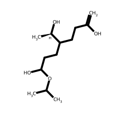 C=C(O)CCC(CCC(O)OC(C)C)[C@@H](C)O